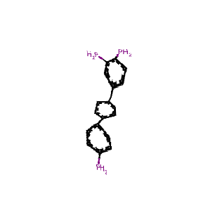 Pc1ccc(-c2ccc(-c3ccc(P)c(P)c3)cc2)cc1